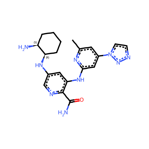 Cc1cc(-n2ccnn2)cc(Nc2cc(N[C@@H]3CCCC[C@@H]3N)cnc2C(N)=O)n1